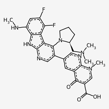 CNc1cc(F)c(F)c2c1[nH]c1ncc(-c3cnc4c(c3)c(=O)c(C(=O)O)cn4C)c(N3CCC[C@H]3CN(C)C)c12